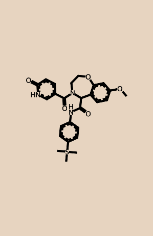 COc1ccc2c(c1)OCCN(C(=O)c1ccc(=O)[nH]c1)C2C(=O)Nc1ccc(S(C)(C)C)cc1